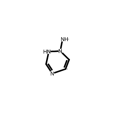 [NH]N1C=[C]N=CN1